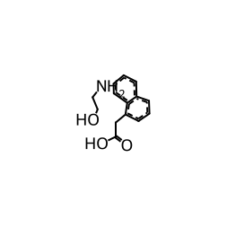 NCCO.O=C(O)Cc1cccc2ccccc12